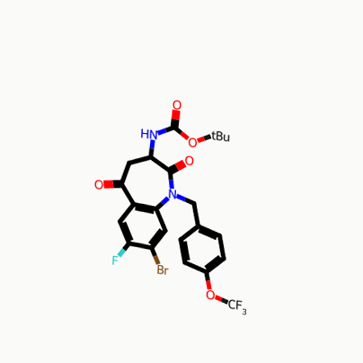 CC(C)(C)OC(=O)NC1CC(=O)c2cc(F)c(Br)cc2N(Cc2ccc(OC(F)(F)F)cc2)C1=O